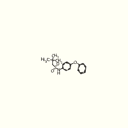 CC(C)(C)CS(=O)(=O)Nc1ccc(Oc2ccccc2)cc1